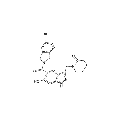 O=C1CCCCN1Cc1n[nH]c2cc(O)c(C(=O)N3Cc4ccc(Br)cc4C3)cc12